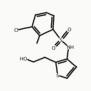 Cc1c(Cl)cccc1S(=O)(=O)Nc1ccsc1CCO